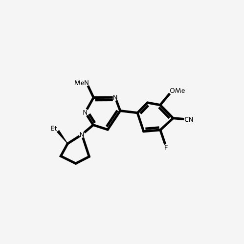 CC[C@@H]1CCCN1c1cc(-c2cc(F)c(C#N)c(OC)c2)nc(NC)n1